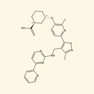 Cc1nc(-c2onc(C)c2CNc2nccc(-c3ccccn3)n2)ccc1O[C@H]1CCC[C@H](C(=O)O)C1